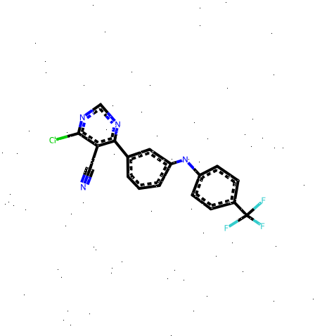 N#Cc1c(Cl)ncnc1-c1cccc([N]c2ccc(C(F)(F)F)cc2)c1